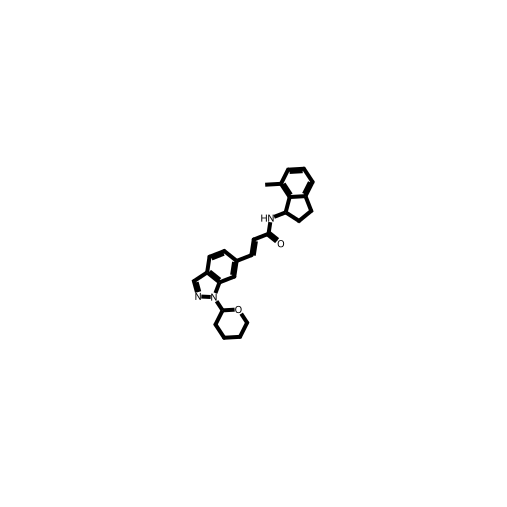 Cc1cccc2c1C(NC(=O)/C=C/c1ccc3cnn(C4CCCCO4)c3c1)CC2